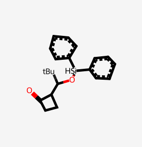 CC(C)(C)C(O[SiH](c1ccccc1)c1ccccc1)C1CCC1=O